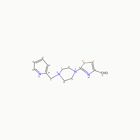 O=Cc1csc(N2CCN(Cc3ccccn3)CC2)n1